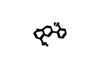 Nc1ccnc2ccc(-c3ccccc3C(F)(F)F)cc12